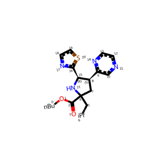 CCCCOC(=O)C1(CC(C)C)C[C@H](c2cnccn2)[C@H](c2nccs2)N1